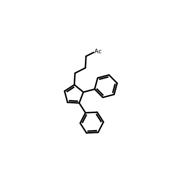 CC(=O)CCCC1=CC=C(c2ccccc2)C1c1ccccc1